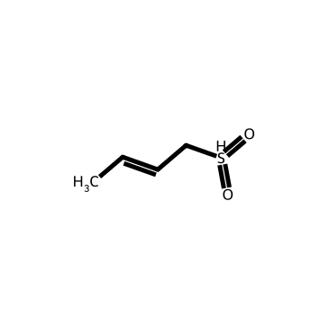 C/C=C/C[SH](=O)=O